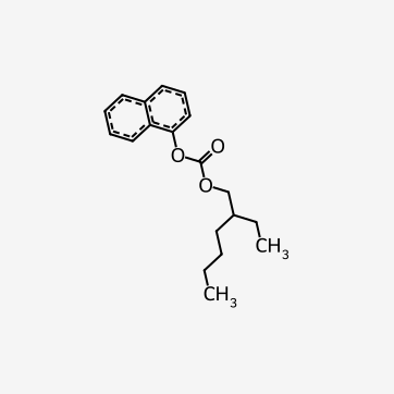 CCCCC(CC)COC(=O)Oc1cccc2ccccc12